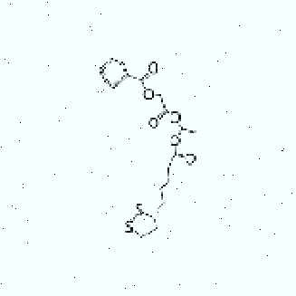 CC(OC(=O)CCCC[C@@H]1CCSS1)OC(=O)COC(=O)c1ccccc1